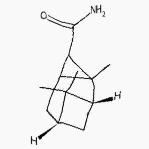 CC12C(C[C@H]3C[C@@H]1C3(C)C)C2C(N)=O